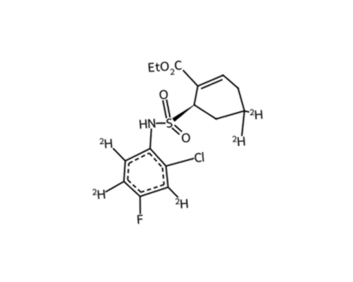 [2H]c1c([2H])c(NS(=O)(=O)[C@@H]2CC([2H])([2H])CC=C2C(=O)OCC)c(Cl)c([2H])c1F